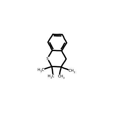 CC1(C)Cc2ccccc2SC1(C)C